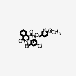 COc1ccc(CONC(=O)[C@@H]2c3ccccc3C(=O)N[C@H]2c2ccc(Cl)cc2Cl)cn1